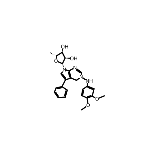 COc1ccc(NN2C=Nc3c(c(-c4ccccc4)cn3[C@@H]3O[C@H](C)[C@@H](O)[C@H]3O)C2)cc1OC